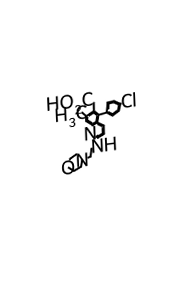 Cc1cc2nc(NCCN3CCOCC3)ccc2c(-c2ccc(Cl)cc2)c1CC(=O)O